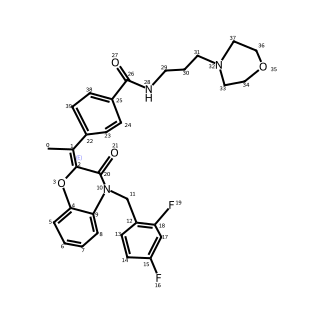 C/C(=C1\Oc2ccccc2N(Cc2ccc(F)cc2F)C1=O)c1ccc(C(=O)NCCCN2CCOCC2)cc1